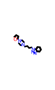 c1coc(N2CCN(CCCCn3nnc4ccccc43)CC2)c1